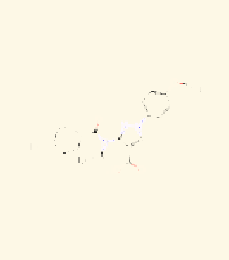 COc1ccc(-n2cc(C(=O)O)c(N(C(=O)[C@H]3CC[C@H](C)CC3)C(C)C)n2)cc1